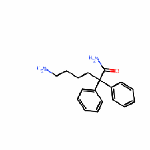 NCCCCC(C(N)=O)(c1ccccc1)c1ccccc1